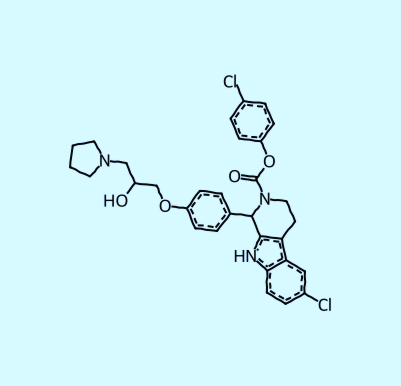 O=C(Oc1ccc(Cl)cc1)N1CCc2c([nH]c3ccc(Cl)cc23)C1c1ccc(OCC(O)CN2CCCC2)cc1